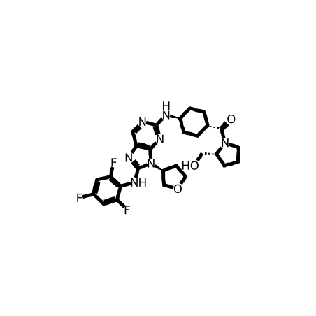 O=C([C@H]1CC[C@H](Nc2ncc3nc(Nc4c(F)cc(F)cc4F)n([C@H]4CCOC4)c3n2)CC1)N1CCC[C@@H]1CO